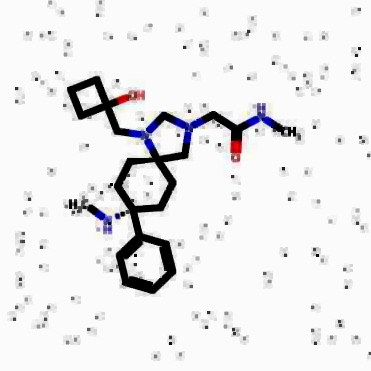 CNC(=O)CN1CN(CC2(O)CCC2)[C@]2(CC[C@](NC)(c3ccccc3)CC2)C1